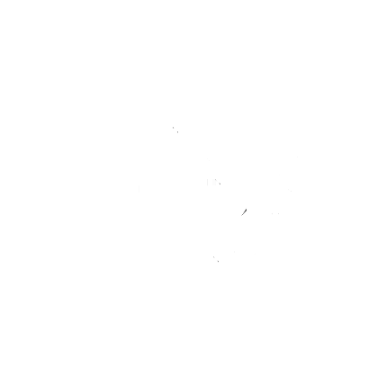 C=CCC1CN[C@H](C(=O)N[C@H](/C=C2/CCOC2=O)C[C@@H]2CCNC2=O)CC1(F)F